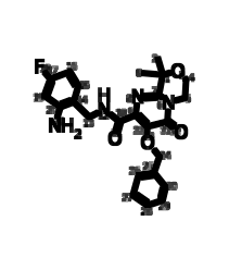 CC1(C)OCCn2c1nc(C(=O)NCc1ccc(F)cc1N)c(OCc1ccccc1)c2=O